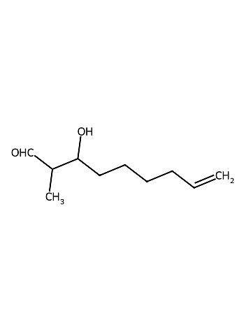 C=CCCCCC(O)C(C)C=O